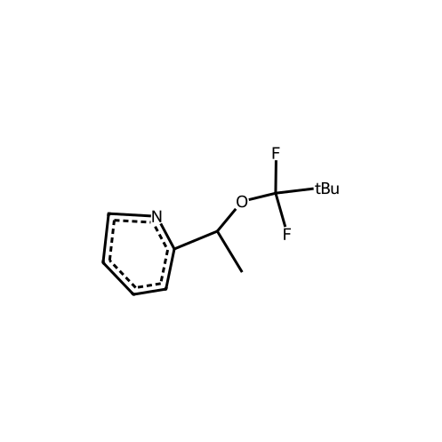 CC(OC(F)(F)C(C)(C)C)c1ccccn1